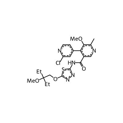 CCC(CC)(COc1nnc(NC(=O)c2cnc(C)c(OC)c2-c2ccnc(Cl)c2)s1)OC